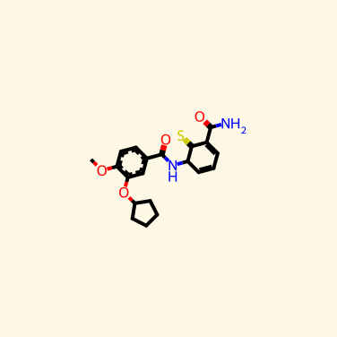 COc1ccc(C(=O)NC2C=CC=C(C(N)=O)C2=S)cc1OC1CCCC1